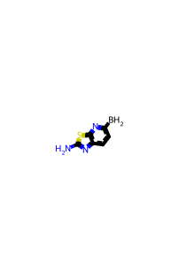 Bc1ccc2nc(N)sc2n1